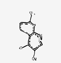 N#Cc1cnc2nc(C(F)(F)F)ccc2c1Cl